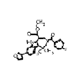 CCOC(=O)C1=CN(C(=O)c2ccc(F)cc2)CC(C)(C)c2c1[nH]c1cc(-c3ccoc3)ccc21